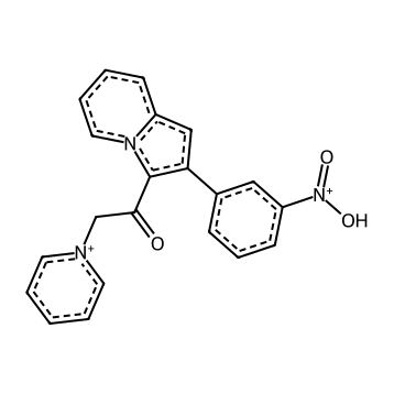 O=C(C[n+]1ccccc1)c1c(-c2cccc([N+](=O)O)c2)cc2ccccn12